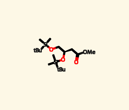 COC(=O)C[C@H](CO[Si](C)(C)C(C)(C)C)O[Si](C)(C)C(C)(C)C